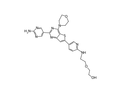 Nc1ncc(-c2nc(N3CCOCC3)c3sc(-c4ccc(NCCOCCO)nc4)cc3n2)cn1